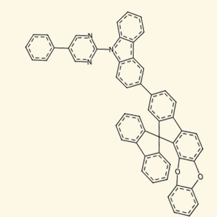 c1ccc(-c2cnc(-n3c4ccccc4c4cc(-c5ccc6c(c5)C5(c7ccccc7-c7ccccc75)c5c-6ccc6c5Oc5ccccc5O6)ccc43)nc2)cc1